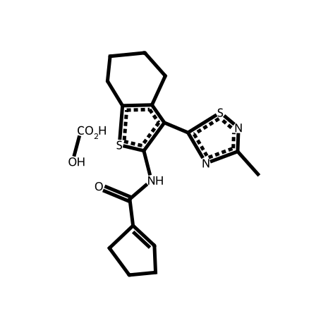 Cc1nsc(-c2c(NC(=O)C3=CCCC3)sc3c2CCCC3)n1.O=C(O)O